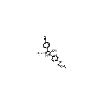 CSNc1ccc(-n2nc(C)c(-c3ccc(C#N)cc3)c2O)nc1